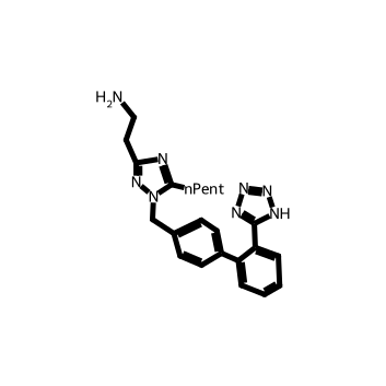 CCCCCc1nc(CCN)nn1Cc1ccc(-c2ccccc2-c2nnn[nH]2)cc1